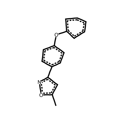 Cc1cc(-c2ccc(Oc3ccccc3)cc2)no1